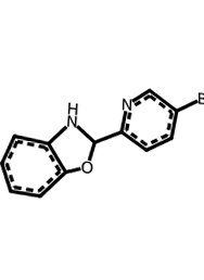 Brc1ccc(C2Nc3ccccc3O2)nc1